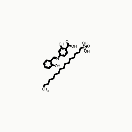 CCCCCCCCCCCCCCCCP(=O)(O)O.O=C(O)c1ccc(N=Cc2ccccc2O)cc1O